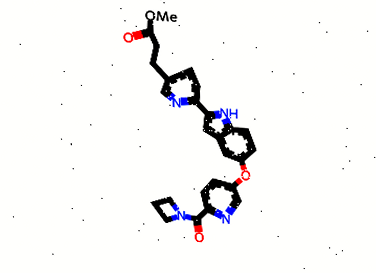 COC(=O)CCc1ccc(-c2cc3cc(Oc4ccc(C(=O)N5CCC5)nc4)ccc3[nH]2)nc1